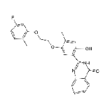 Cc1ccc(F)cc1OCCOc1cc(-c2nc3ccccc3c(=O)[nH]2)c(O)cc1C